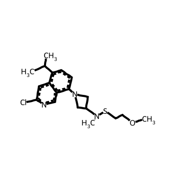 COCCSN(C)C1CN(c2ccc(C(C)C)c3cc(Cl)ncc23)C1